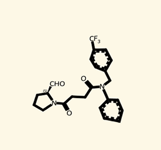 O=C[C@@H]1CCCN1C(=O)CCC(=O)N(Cc1ccc(C(F)(F)F)cc1)c1ccccc1